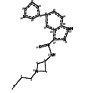 O=C(NC1CN(CCF)C1)c1n[nH]c2ccc(-c3cccnc3)cc12